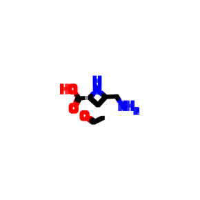 CC=O.NCC1C[C@H](C(=O)O)N1